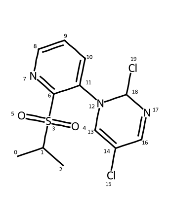 CC(C)S(=O)(=O)c1ncccc1N1C=C(Cl)C=NC1Cl